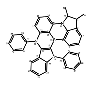 CC1c2cccc3c2N(c2cccc4c2B3c2c(c3ccccc3n2-c2ccccc2)N4c2ccccc2)C1C